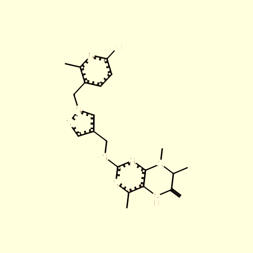 Cc1nc(C(F)(F)F)ccc1Cn1cc(CNc2nc(C)c3c(n2)N(C)C(C)C(=O)N3)cn1